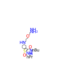 CCCCNC(=O)c1c(NC(=O)CCC)sc2c1CC(NCCCOCCNN)CC2